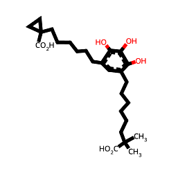 CC(C)(CCCCCCc1cc(CCCCCCC2(C(=O)O)CC2)c(O)c(O)c1O)C(=O)O